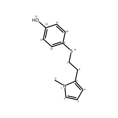 Cn1cccc1CCSc1ccc(O)cc1